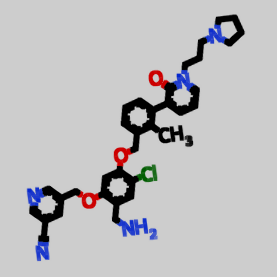 Cc1c(COc2cc(OCc3cncc(C#N)c3)c(CN)cc2Cl)cccc1-c1cccn(CCCN2CCCC2)c1=O